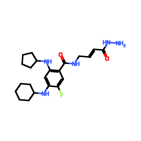 NNC(=O)/C=C/CNC(=O)c1cc(F)c(NC2CCCCC2)cc1NC1CCCC1